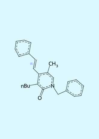 CCCCc1c(/C=C/c2ccccc2)c(C)cn(Cc2ccccc2)c1=O